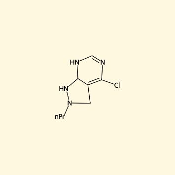 CCCN1CC2=C(Cl)N=CNC2N1